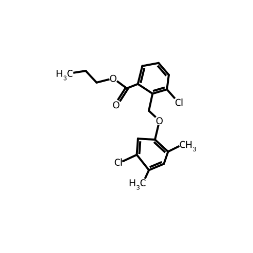 CCCOC(=O)c1cccc(Cl)c1COc1cc(Cl)c(C)cc1C